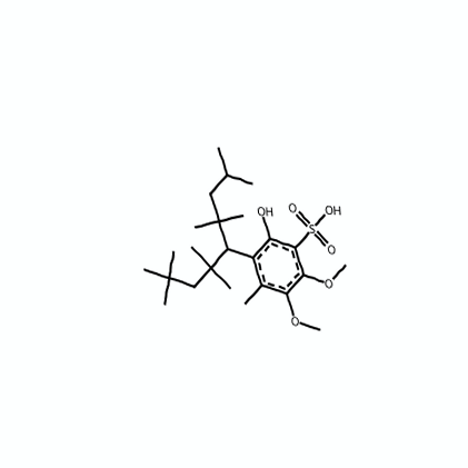 COc1c(C)c(C(C(C)(C)CC(C)C)C(C)(C)CC(C)(C)C)c(O)c(S(=O)(=O)O)c1OC